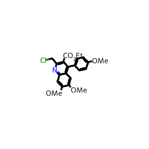 CCOC(=O)c1c(CCl)nc2cc(OC)c(OC)cc2c1-c1ccc(OC)cc1